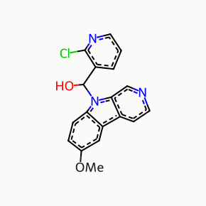 COc1ccc2c(c1)c1ccncc1n2C(O)c1cccnc1Cl